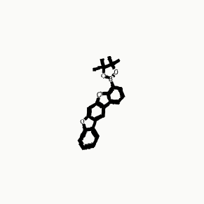 CC1(C)OB(c2cccc3c2oc2cc4oc5ccccc5c4cc23)OC1(C)C